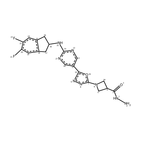 NNC(=O)C1CN(c2nnc(-c3cnc(NC4Cc5cc(F)c(F)cc5C4)nc3)o2)C1